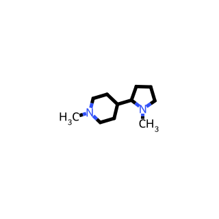 CN1CCC(C2CCCN2C)CC1